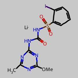 COc1nc(C)nc(NC(=O)NS(=O)(=O)c2ccccc2I)n1.[Li]